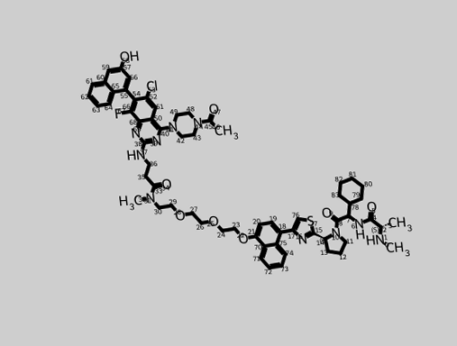 CN[C@@H](C)C(=O)NC(C(=O)N1CCC[C@H]1c1nc(-c2ccc(OCCOCCOCCN(C)C(=O)CCNc3nc(N4CCN(C(C)=O)CC4)c4cc(Cl)c(-c5cc(O)cc6ccccc56)c(F)c4n3)c3ccccc23)cs1)C1CCCCC1